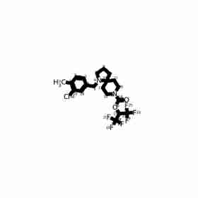 Cc1ccc(CN2CCCC23CCN(C(=O)OC(C(F)(F)F)C(F)(F)F)CC3)cc1Cl